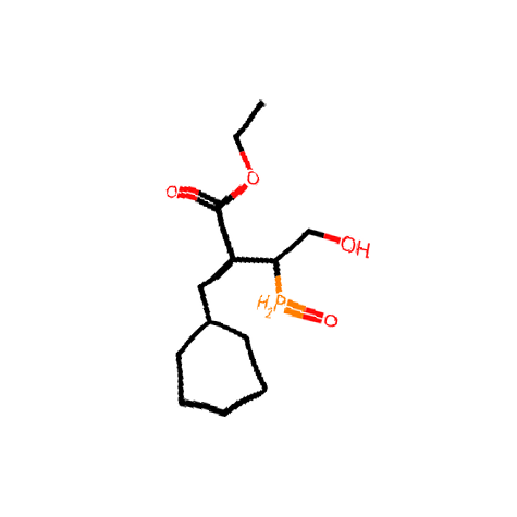 CCOC(=O)C(CC1CCCCC1)C(CO)[PH2]=O